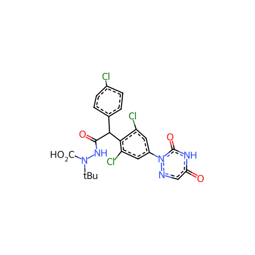 CC(C)(C)N(NC(=O)C(c1ccc(Cl)cc1)c1c(Cl)cc(-n2ncc(=O)[nH]c2=O)cc1Cl)C(=O)O